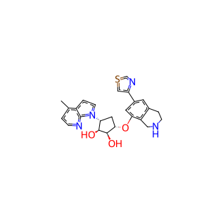 Cc1ccnc2c1ccn2[C@@H]1C[C@H](Oc2cc(-c3cscn3)cc3c2CNCC3)[C@@H](O)[C@H]1O